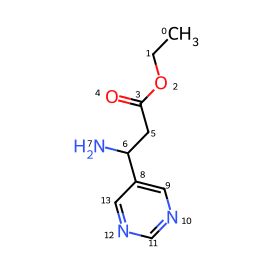 CCOC(=O)CC(N)c1cncnc1